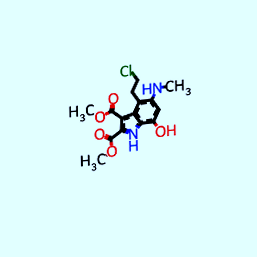 CNc1cc(O)c2[nH]c(C(=O)OC)c(C(=O)OC)c2c1CCCl